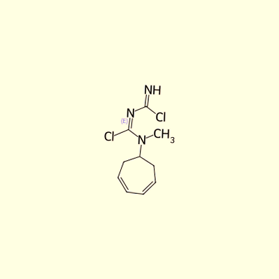 CN(/C(Cl)=N\C(=N)Cl)C1CC=CC=CC1